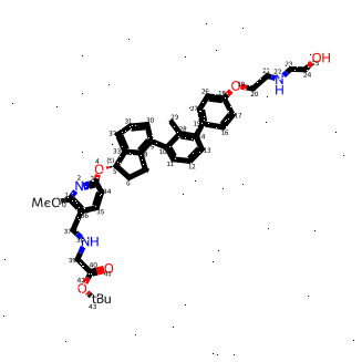 COc1nc(O[C@H]2CCc3c(-c4cccc(-c5ccc(OCCNCCO)cc5)c4C)cccc32)ccc1CNCC(=O)OC(C)(C)C